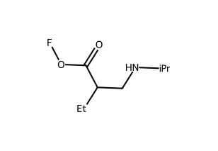 CCC(CNC(C)C)C(=O)OF